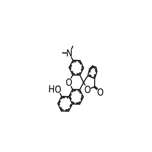 CN(C)c1ccc2c(c1)Oc1c(ccc3cccc(O)c13)C21OC(=O)c2ccccc21